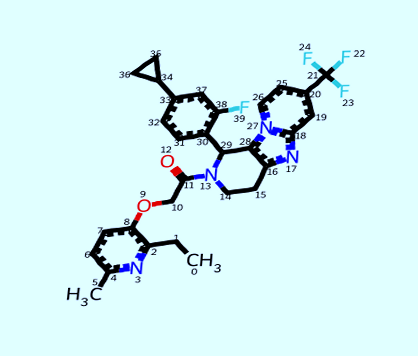 CCc1nc(C)ccc1OCC(=O)N1CCc2nc3cc(C(F)(F)F)ccn3c2C1c1ccc(C2CC2)cc1F